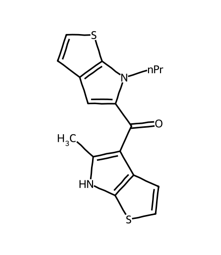 CCCn1c(C(=O)c2c(C)[nH]c3sccc23)cc2ccsc21